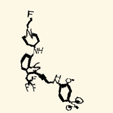 COc1cc(S(C)(=O)=O)ccc1NCC#Cc1sc2c(NC3CCN(CCF)CC3)cccc2c1CC(F)(F)F